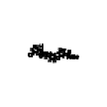 CNC(=O)c1cc(Oc2ccc(CNC(=O)Nc3cncc(Cl)c3)cc2)ccn1